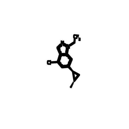 C[C@H]1C[C@@H]1c1cc(Cl)c2cnn(CC(F)(F)F)c2c1